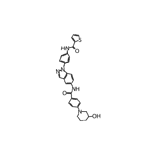 O=C(Nc1ccc2c(cnn2-c2ccc(NC(=O)c3cccs3)cc2)c1)c1ccc(N2CCCC(O)C2)cc1